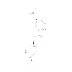 O=C(O)c1ccc2occ(Cc3ccc(Cl)cc3Cl)c2c1